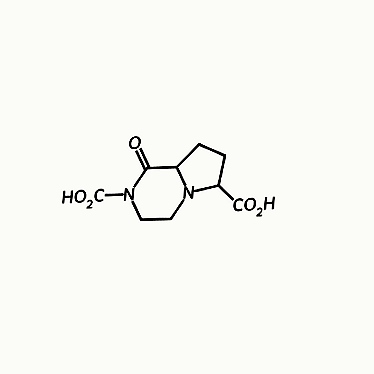 O=C(O)C1CCC2C(=O)N(C(=O)O)CCN12